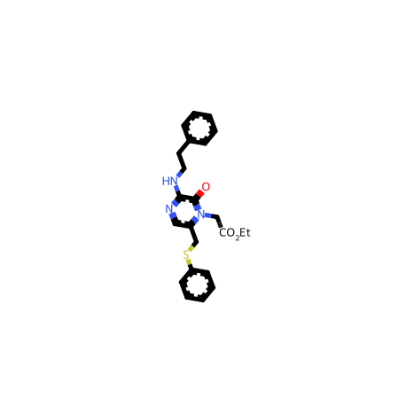 CCOC(=O)Cn1c(CSc2ccccc2)cnc(NCCc2ccccc2)c1=O